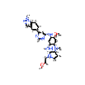 CNc1cc(Nc2cc(-c3ccc4c(cnn4C)c3)ncn2)c(OC)cc1N(C)C1CCN(CCOC)C1